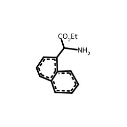 CCOC(=O)C(N)c1cccc2ccccc12